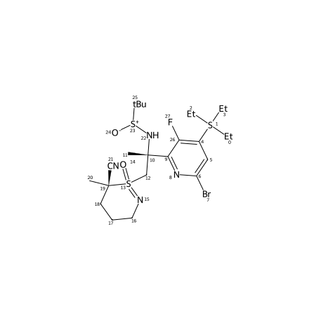 CCS(CC)(CC)c1cc(Br)nc([C@](C)(CS2(=O)=NCCC[C@@]2(C)C#N)N[S+]([O-])C(C)(C)C)c1F